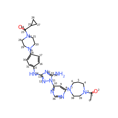 CC(=O)N1CCCN(c2cc(-n3nc(Nc4ccc(N5CCN(C(=O)C6CC6)CC5)cc4)nc3N)ncn2)CC1